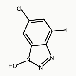 On1nnc2c(I)cc(Cl)cc21